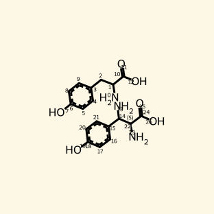 NC(Cc1ccc(O)cc1)C(=O)O.NC(c1ccc(O)cc1)[C@H](N)C(=O)O